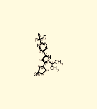 CC(C)n1nc(-c2cnc(C(F)(F)F)nc2)cc1[C@H]1CCC(=O)C1